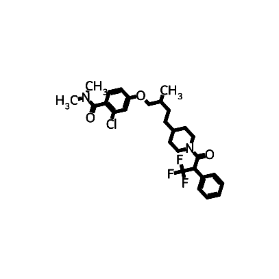 CC(CCC1CCN(C(=O)C(c2ccccc2)C(F)(F)F)CC1)COc1ccc(C(=O)N(C)C)c(Cl)c1